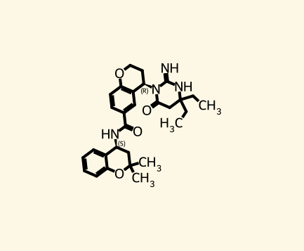 CCC1(CC)CC(=O)N([C@@H]2CCOc3ccc(C(=O)N[C@H]4CC(C)(C)Oc5ccccc54)cc32)C(=N)N1